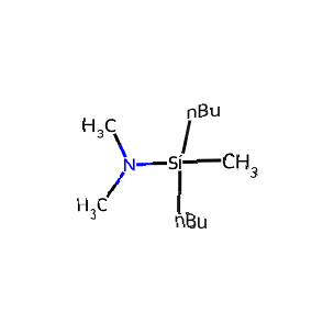 CCCC[Si](C)(CCCC)N(C)C